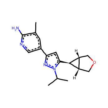 Cc1cc(-c2cc([C@H]3[C@@H]4COC[C@@H]43)n(C(C)C)n2)cnc1N